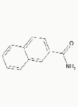 NC(=O)c1ccc2[c]cccc2c1